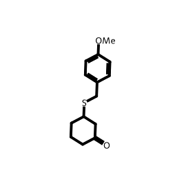 COc1ccc(CSC2CCCC(=O)C2)cc1